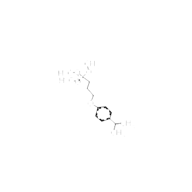 CO[Si](CCCOc1ccc(C(C)C)cc1)(OC)OC